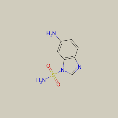 Nc1ccc2ncn(S(N)(=O)=O)c2c1